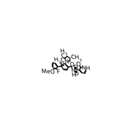 COc1cccc(-c2ccc(C(=O)NS(=O)(=O)c3ccc[nH]c3=O)c(N3C[C@@H](C)CC3(C)C)n2)c1F